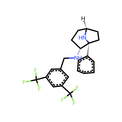 FC(F)(F)c1cc(CN[C@@H]2CC[C@H]3CC[C@]2(c2ccccc2)N3)cc(C(F)(F)F)c1